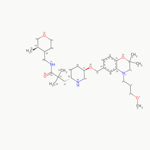 COCCCN1CC(C)(C)Oc2ccc(CO[C@@H]3CC[C@@H](CC(C)(C)C(=O)NCC4CCOC[C@@H]4C)NC3)cc21